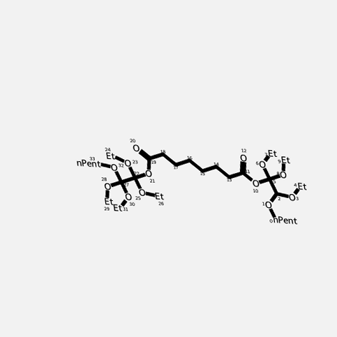 CCCCCOC(OCC)C(OCC)(OCC)OC(=O)CCCCCCC(=O)OC(OCC)(OCC)C(OCC)(OCC)OCCCCC